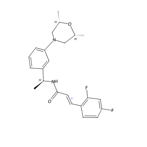 C[C@@H]1CN(c2cccc([C@H](C)NC(=O)/C=C/c3ccc(F)cc3F)c2)C[C@H](C)O1